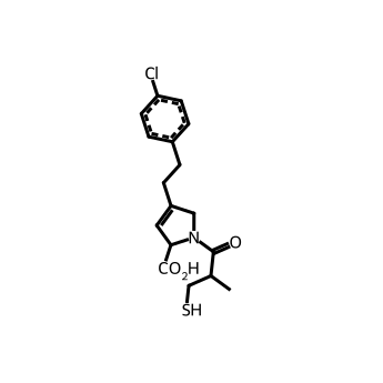 CC(CS)C(=O)N1CC(CCc2ccc(Cl)cc2)=CC1C(=O)O